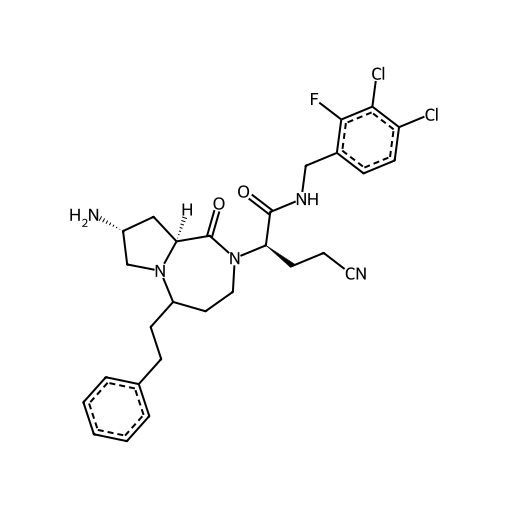 N#CCC[C@H](C(=O)NCc1ccc(Cl)c(Cl)c1F)N1CCC(CCc2ccccc2)N2C[C@H](N)C[C@H]2C1=O